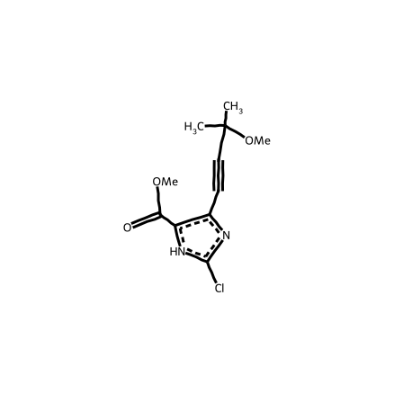 COC(=O)c1[nH]c(Cl)nc1C#CC(C)(C)OC